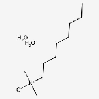 CCCCCCCC[N+](C)(C)[O-].O.O